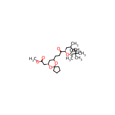 COC(=O)C[C@H]1CC(CCC(=O)[C@@H](CC(C)C)O[Si](C)(C)C(C)(C)C)OC2(CCCC2)O1